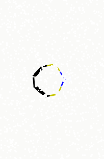 c1ccs[nH]sc1